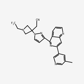 Cc1cncc(-c2cc3ncccc3c(-c3ccn(C4(CC#N)CN(CC(F)(F)F)C4)n3)n2)c1